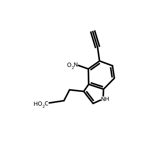 C#Cc1ccc2[nH]cc(CCC(=O)O)c2c1[N+](=O)[O-]